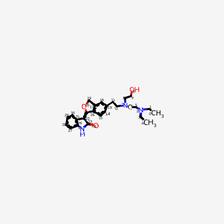 CCN(CC)CCN(CCO)CCc1ccc2c(c1)COC2=C1C(=O)Nc2ccccc21